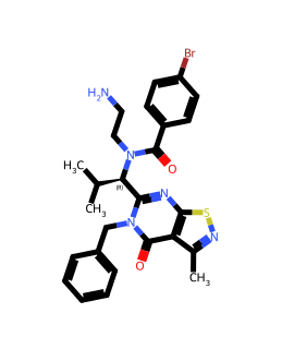 Cc1nsc2nc([C@@H](C(C)C)N(CCN)C(=O)c3ccc(Br)cc3)n(Cc3ccccc3)c(=O)c12